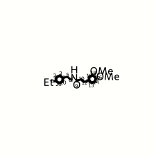 CCc1ccc(CCNC(=O)/C=C/c2ccc(OC)c(OC)c2)cc1